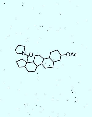 CC(=O)OC1CCC2C(CCC3C2CCC2C3CCC3CCCC32C(=O)N2CCCC2)C1